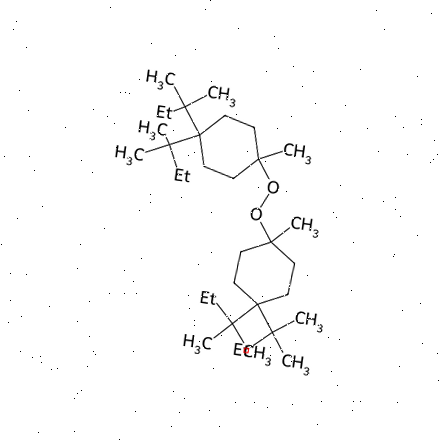 CCC(C)(C)C1(C(C)(C)CC)CCC(C)(OOC2(C)CCC(C(C)(C)CC)(C(C)(C)CC)CC2)CC1